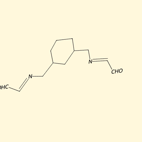 O=CC=NCC1CCCC(CN=CC=O)C1